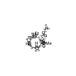 C=CC12NC(C)(CC3(CCC(=O)OCCN(C)C)NC(C(=O)OC)(/C=c4/cc/c([nH]4)=C/c4cc5c([nH]4)C1(C)CC5)C(=O)C3C)C(CC)C2C